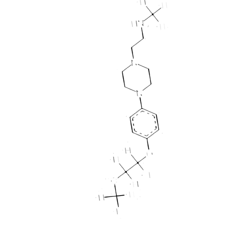 [2H]C([2H])([2H])NCCN1CCN(c2ccc(OC([2H])([2H])C([2H])([2H])OC([2H])([2H])[2H])cc2)CC1